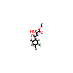 CCOC(=O)/C(O)=C/C(=O)c1cc(Cl)c(C)cc1C